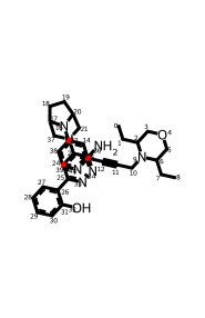 CCC1COCC(CC)N1CC#Cc1cc(N2C3CCC2CN(c2cc(-c4ccccc4O)nnc2N)C3)ccn1